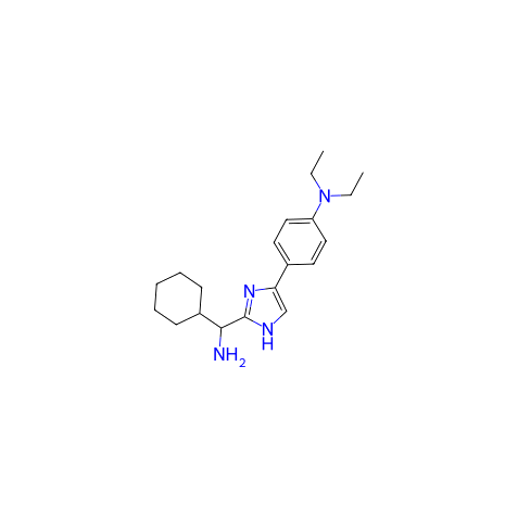 CCN(CC)c1ccc(-c2c[nH]c(C(N)C3CCCCC3)n2)cc1